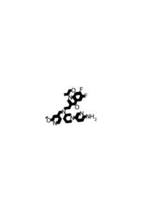 COc1cc(CN(CCc2cn3c4c(c(F)c(F)cc4c2=O)OCC3C)[C@H]2CCCN(c3ccc(N)nc3)C2)ccn1